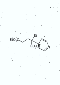 CCOC(=O)CCC(CC)(C(=O)OCC)c1ccncc1